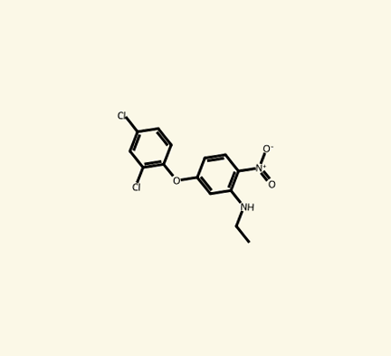 CCNc1cc(Oc2ccc(Cl)cc2Cl)ccc1[N+](=O)[O-]